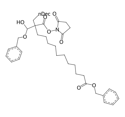 CCCCCCCCCCCC(CCCCCCCCCCC(=O)OCc1ccccc1)(C(=O)ON1C(=O)CCC1=O)C(O)OCc1ccccc1